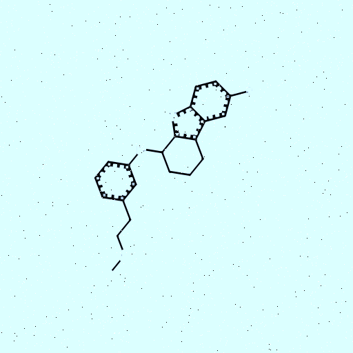 COCCc1cccc(NC2CCCc3c2[nH]c2ccc(Br)cc32)c1